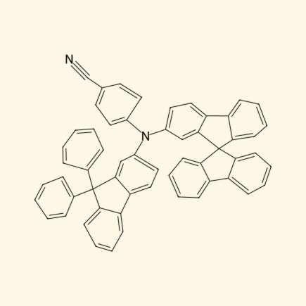 N#Cc1ccc(N(c2ccc3c(c2)C(c2ccccc2)(c2ccccc2)c2ccccc2-3)c2ccc3c(c2)C2(c4ccccc4-c4ccccc42)c2ccccc2-3)cc1